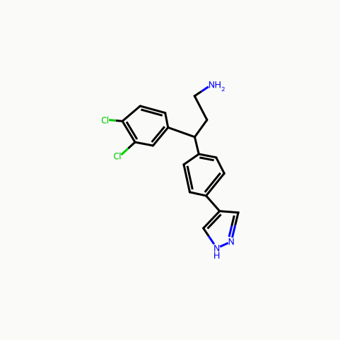 NCCC(c1ccc(-c2cn[nH]c2)cc1)c1ccc(Cl)c(Cl)c1